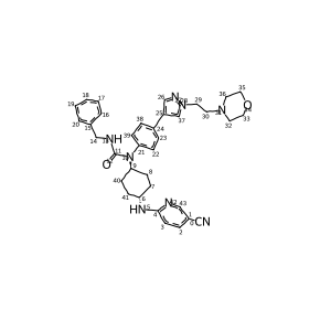 N#Cc1ccc(N[C@H]2CC[C@H](N(C(=O)NCc3ccccc3)c3ccc(-c4cnn(CCN5CCOCC5)c4)cc3)CC2)nc1